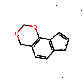 C1=Cc2c(ccc3c2OCOC3)C1